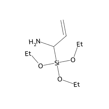 C=CC(N)[Si](OCC)(OCC)OCC